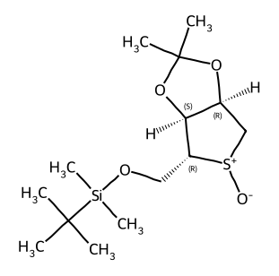 CC1(C)O[C@H]2[C@H](C[S+]([O-])[C@@H]2CO[Si](C)(C)C(C)(C)C)O1